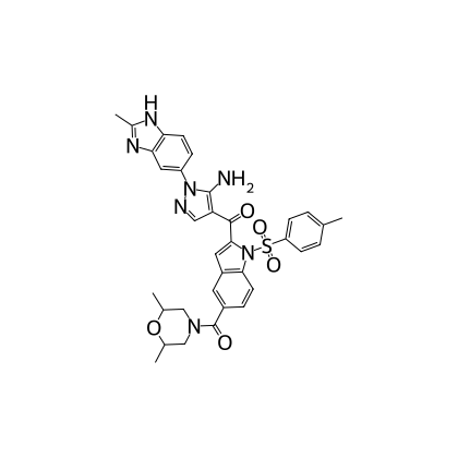 Cc1ccc(S(=O)(=O)n2c(C(=O)c3cnn(-c4ccc5[nH]c(C)nc5c4)c3N)cc3cc(C(=O)N4CC(C)OC(C)C4)ccc32)cc1